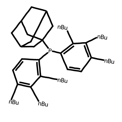 CCCCc1ccc(P(c2ccc(CCCC)c(CCCC)c2CCCC)C23CC4CC(CC(C4)C2)C3)c(CCCC)c1CCCC